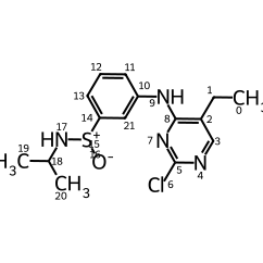 CCc1cnc(Cl)nc1Nc1cccc([S+]([O-])NC(C)C)c1